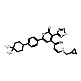 CC1(C)CCC(c2ccc(-c3cc(C(=N)/C=C\NCC4CC4)c(-c4nn[nH]n4)c(=O)[nH]3)cc2)CC1